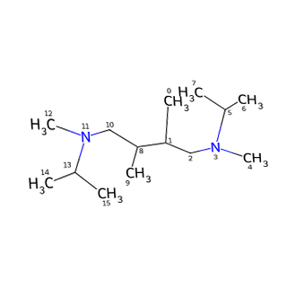 CC(CN(C)C(C)C)C(C)CN(C)C(C)C